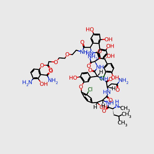 CN[C@H](CC(C)C)C(=O)N[C@H]1C(=O)N[C@@H](CC(N)=O)C(=O)N[C@@H](C(=O)N[C@@H](C(N)=O)c2ccc(O)c(-c3c(O)cc(O)cc3[C@@H](NC(=O)C[C@H](O)c3ccc(O)c(Cl)c3)C(=O)NCCOCCOCC(=O)Oc3ccc(N)c(O)c3C(N)=O)c2)c2ccc(O)c(c2)Oc2ccc(cc2Cl)[C@H]1O